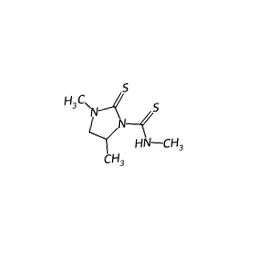 CNC(=S)N1C(=S)N(C)CC1C